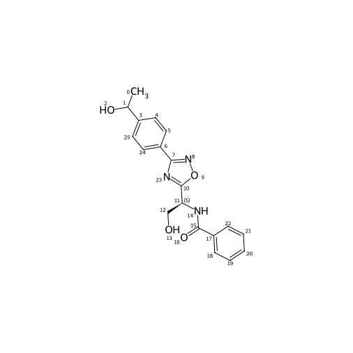 CC(O)c1ccc(-c2noc([C@H](CO)NC(=O)c3ccccc3)n2)cc1